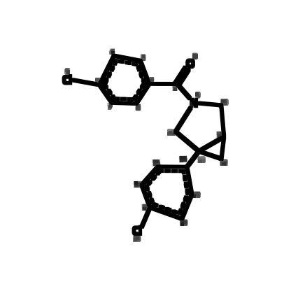 O=C(c1ccc(Cl)cc1)N1CC2CC2(c2ccc(Cl)cc2)C1